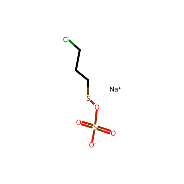 O=S(=O)([O-])OSCCCCl.[Na+]